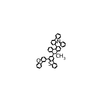 CC1c2cccc(-c3cccc4c5ccccc5n(-c5ccccc5)c34)c2-c2ccccc2C1c1cc(-c2ccc3oc4ccccc4c3c2)c2sc3ccccc3c2c1